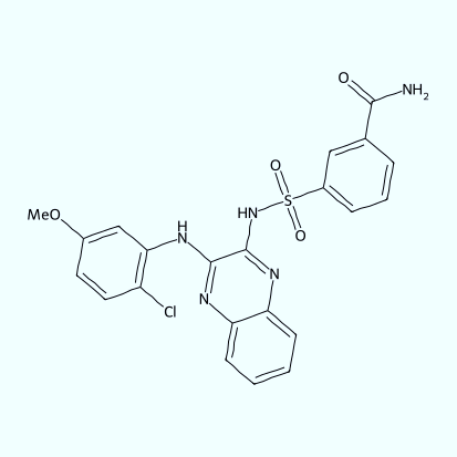 COc1ccc(Cl)c(Nc2nc3ccccc3nc2NS(=O)(=O)c2cccc(C(N)=O)c2)c1